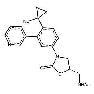 CC(=O)NC[C@H]1CN(c2ccc(C3(C#N)CC3)c(-c3cccnc3)c2)C(=O)O1